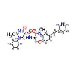 Cc1nc(=O)c(C(=O)N[C@H]2COc3ccc(C#Cc4cccnc4)cc3N(C)C2=O)cn1-c1ccccc1